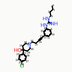 CCCCNC(=N)Nc1cccc(C#CCCN2CCC(O)(c3ccc(Cl)cc3)CC2)c1